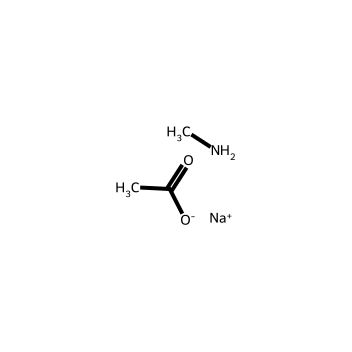 CC(=O)[O-].CN.[Na+]